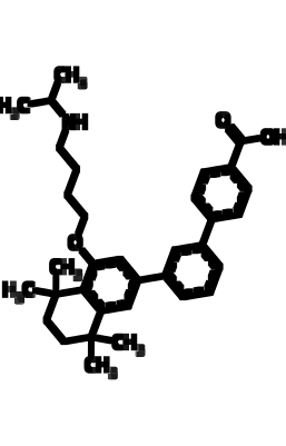 CC(C)NCCCCOc1cc(-c2cccc(-c3ccc(C(=O)O)cc3)c2)cc2c1C(C)(C)CCC2(C)C